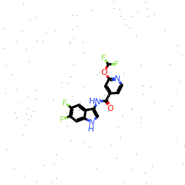 O=C(Nc1c[nH]c2cc(F)c(F)cc12)c1ccnc(OC(F)F)c1